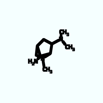 CN(C)C1CC2CN(C)C1C2N